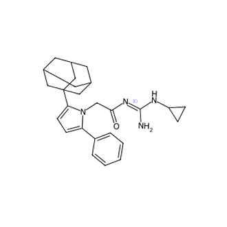 N/C(=N\C(=O)Cn1c(-c2ccccc2)ccc1C12CC3CC(CC(C3)C1)C2)NC1CC1